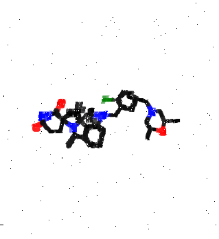 BC1(N2C(=C)c3cccc(NCc4cc(CN5CC(C)OC(C)C5)ccc4F)c3C2(B)B)CCC(=O)NC1=O